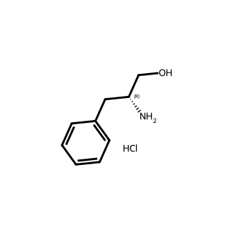 Cl.N[C@@H](CO)Cc1ccccc1